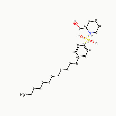 CCCCCCCCCCCCc1ccc(S(=O)(=O)N2CCCCC2CO)cc1